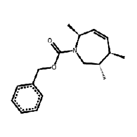 C[C@@H]1C=C[C@H](C)N(C(=O)OCc2ccccc2)C[C@H]1C